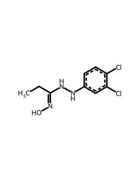 CCC(=NO)NNc1ccc(Cl)c(Cl)c1